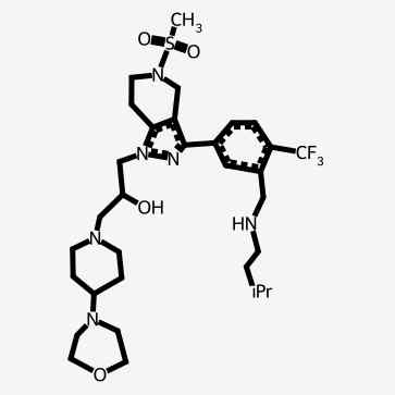 CC(C)CCNCc1cc(-c2nn(CC(O)CN3CCC(N4CCOCC4)CC3)c3c2CN(S(C)(=O)=O)CC3)ccc1C(F)(F)F